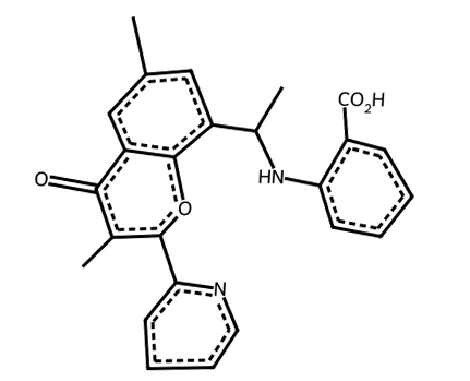 Cc1cc(C(C)Nc2ccccc2C(=O)O)c2oc(-c3ccccn3)c(C)c(=O)c2c1